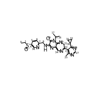 CC[S+]([O-])c1ccc(CNc2nc3c(n(C(C)C)c2=O)=NCC(c2c(C)ncnc2C2CC2)=NC=3)nc1